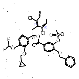 C=C/C(Cl)=C(C[C@H](OC(=O)c1ccc(OCc2ccccc2)c(OS(C)(=O)=O)c1)c1ccc(OC(F)F)c(OCC2CC2)c1)\C(Cl)=C/C